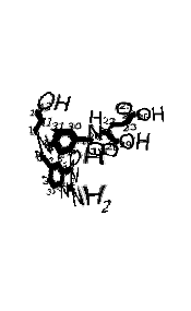 Nc1nc(O)c2cc(CN(CCCO)c3ccc(C(=O)N[C@@H](CCC(=O)O)C(=O)O)cc3)ccc2n1